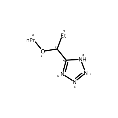 [CH2]CCOC(CC)c1nnn[nH]1